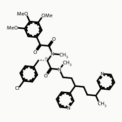 COc1cc(C(=O)C(=O)N(C)[C@@H](Cc2ccc(Cl)cc2)C(=O)N(C)CCC(CCC(C)c2cccnc2)c2cccnc2)cc(OC)c1OC